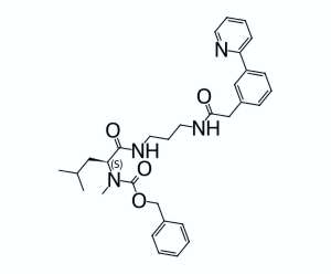 CC(C)C[C@@H](C(=O)NCCCNC(=O)Cc1cccc(-c2ccccn2)c1)N(C)C(=O)OCc1ccccc1